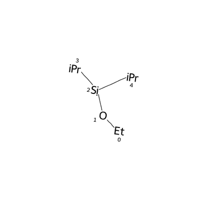 CCO[Si](C(C)C)C(C)C